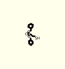 O=P(CCCS)(OCc1ccccc1)OCc1ccccc1